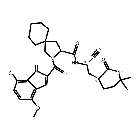 COc1ccc(Cl)c2[nH]c(C(=O)N3CC4(CCCCC4)CC3C(=O)N[C@H](C#N)C[C@@H]3CCC(C)(C)NC3=O)cc12